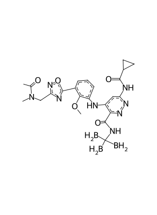 BC(B)(B)NC(=O)c1nnc(NC(=O)C2CC2)cc1Nc1cccc(-c2nc(CN(C)C(C)=O)no2)c1OC